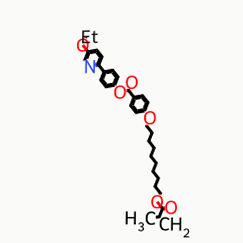 C=C(C)C(=O)OCCCCCCCCCCOc1ccc(C(=O)Oc2ccc(-c3ccc(OCC)cn3)cc2)cc1